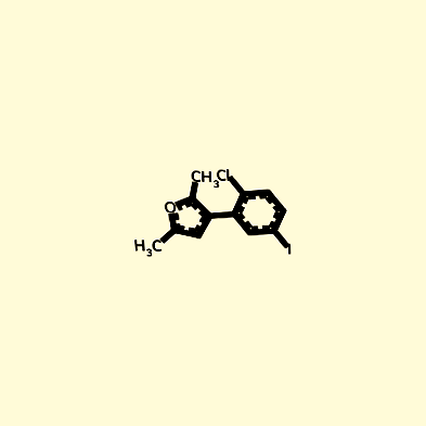 Cc1cc(-c2cc(I)ccc2Cl)c(C)o1